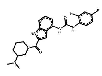 CN(C)C1CCCN(C(=O)c2cc3c(NC(=O)Nc4ccc(F)cc4F)cccc3[nH]2)C1